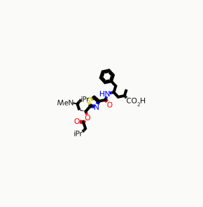 CN[C@H](C[C@@H](OC(=O)CC(C)C)c1nc(C(=O)NC(Cc2ccccc2)CC(C)C(=O)O)cs1)C(C)C